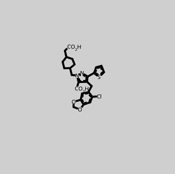 O=C(O)CC1CCC(Cn2nc(-c3cccs3)c(Cc3cc4c(cc3Cl)OCO4)c2C(=O)O)CC1